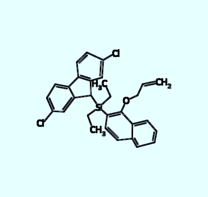 C=CCOc1c([Si](CC)(CC)C2c3cc(Cl)ccc3-c3ccc(Cl)cc32)ccc2ccccc12